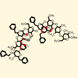 CO[C@@H]1OC(COC(C)=O)[C@@H](O[C@@H]2OC(C)[C@@H](O[C@@H]3OC(COC(C)=O)[C@@H](O[C@@H]4OC(Cc5ccccc5)[C@@H](O[C@@H]5OC(COC(C)=O)[C@@H](O[C@@H]6OC(Cc7ccccc7)[C@H](O[C@@H]7OC(COC(C)=O)[C@@H](O[C@@H]8OC(Cc9ccccc9)[C@@H](C)[C@@H](OCc9ccccc9)C8C)[C@H](C)C7N=[N+]=[N-])[C@@H](OCc7ccccc7)C6C)[C@H](C)C5N=[N+]=[N-])[C@@H](OCc5ccccc5)C4C)[C@H](C)C3N=[N+]=[N-])[C@@H](OCc3ccccc3)C2C)[C@H](C)C1C